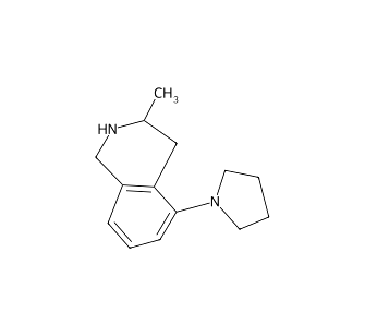 CC1Cc2c(cccc2N2CCCC2)CN1